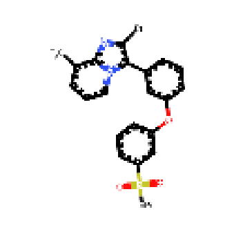 CCCS(=O)(=O)c1cccc(Oc2cccc(-c3c(CC)nc4c(C(F)(F)F)cccn34)c2)c1